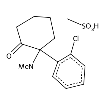 CNC1(c2ccccc2Cl)CCCCC1=O.CS(=O)(=O)O